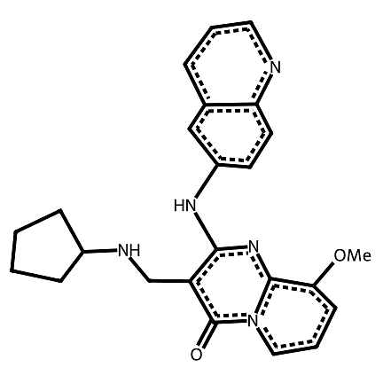 COc1cccn2c(=O)c(CNC3CCCC3)c(Nc3ccc4ncccc4c3)nc12